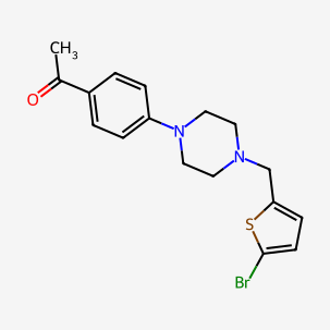 CC(=O)c1ccc(N2CCN(Cc3ccc(Br)s3)CC2)cc1